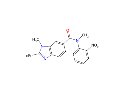 CCCc1nc2ccc(C(=O)N(C)c3ccccc3[N+](=O)[O-])cc2n1C